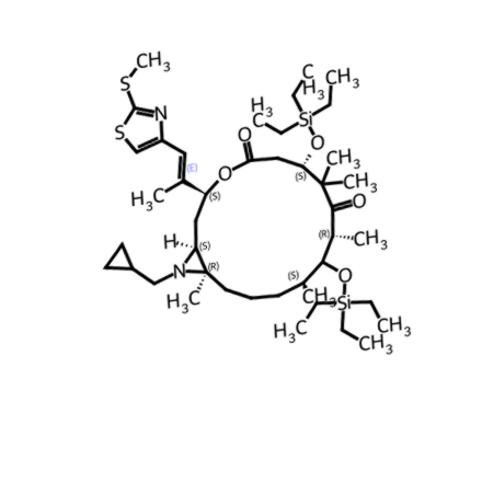 CC[Si](CC)(CC)OC1[C@@H](C)CCC[C@]2(C)[C@H](C[C@@H](/C(C)=C/c3csc(SC)n3)OC(=O)C[C@H](O[Si](CC)(CC)CC)C(C)(C)C(=O)[C@@H]1C)N2CC1CC1